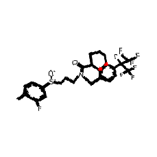 Cc1ccc([S@+]([O-])CCCN(Cc2ccc(C(F)(C(F)(F)F)C(F)(F)F)cc2)C(=O)C2CCCCC2)cc1F